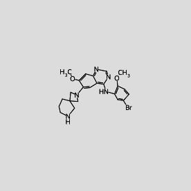 COc1ccc(Br)cc1Nc1ncnc2cc(OC)c(N3CC4(CCCNC4)C3)cc12